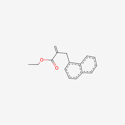 C=C(Cc1cccc2ccccc12)C(=O)OCC